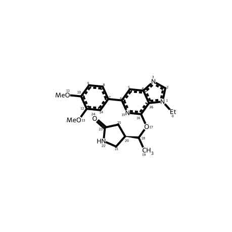 CCn1cnc2cc(-c3ccc(OC)c(OC)c3)nc(OC(C)[C@H]3CNC(=O)C3)c21